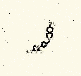 Nc1ccn(-c2ccc(CN3CCC4(CCC(N)CC4)CC3)cc2)c(=O)n1